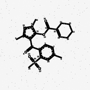 Cc1ccc(C(=O)c2c(C)nn(C)c2OC(=O)C2=CCCCC2)c(S(C)(=O)=O)c1